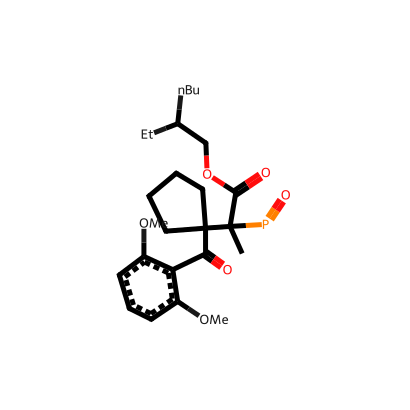 CCCCC(CC)COC(=O)C(C)(P=O)C1(C(=O)c2c(OC)cccc2OC)CCCC1